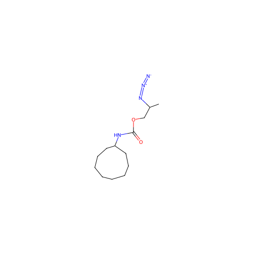 CC(COC(=O)NC1CCCCCCCC1)N=[N+]=[N-]